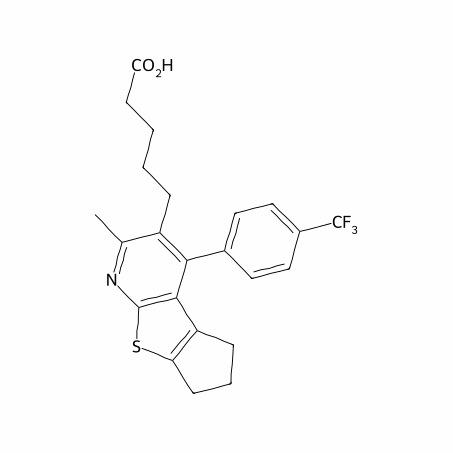 Cc1nc2sc3c(c2c(-c2ccc(C(F)(F)F)cc2)c1CCCCC(=O)O)CCC3